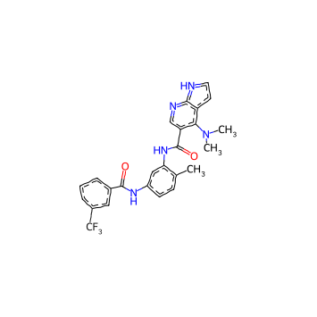 Cc1ccc(NC(=O)c2cccc(C(F)(F)F)c2)cc1NC(=O)c1cnc2[nH]ccc2c1N(C)C